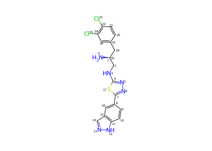 N[C@H](CNc1nnc(-c2ccc3[nH]ncc3c2)s1)Cc1ccc(Cl)c(Cl)c1